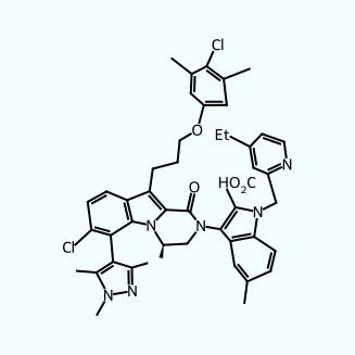 CCc1ccnc(Cn2c(C(=O)O)c(N3C[C@@H](C)n4c(c(CCCOc5cc(C)c(Cl)c(C)c5)c5ccc(Cl)c(-c6c(C)nn(C)c6C)c54)C3=O)c3cc(C)ccc32)c1